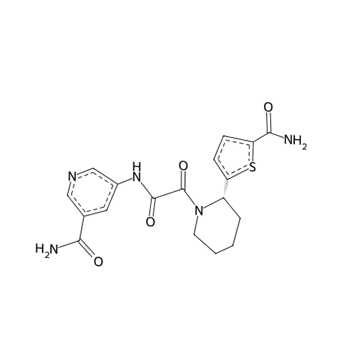 NC(=O)c1cncc(NC(=O)C(=O)N2CCCC[C@H]2c2ccc(C(N)=O)s2)c1